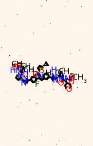 COC(=O)NC(C(=O)N1C[Si](C)(C)[C@H]1c1ncc(-c2ccc3c(c2)cc2n3[C@H](c3ccc(C4CC4)s3)Oc3cc(-c4cnc([C@@H]5CCCN5C(=O)[C@@H](NC(=O)OC)C(C)C)[nH]4)cc(F)c3-2)[nH]1)C1CCOCC1